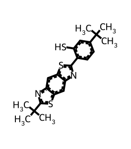 CC(C)(C)c1ccc(-c2nc3cc4sc(C(C)(C)C)nc4cc3s2)c(S)c1